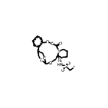 O=C1COc2ccccc2C2CCC(CC2)OC[C@H]2[C@@H](NS(=O)(=O)CF)CCCN12